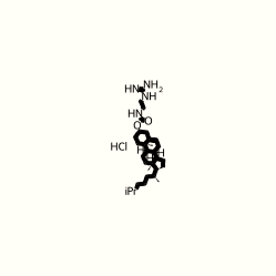 CC(C)CCC[C@@H](C)[C@H]1CC[C@H]2[C@@H]3CC=C4C[C@@H](OC(=O)NCCNC(=N)N)CC[C@]4(C)[C@H]3CC[C@]12C.Cl